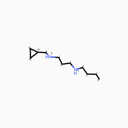 CCCCNCCCNCC1CC1